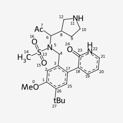 COc1cc(CN(C(C(C)=O)C2CCNC2)S(C)(=O)=O)c(-c2ccc[nH]c2=O)cc1C(C)(C)C